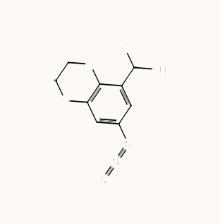 CC(C)c1cc(N=[N+]=[N-])cc2c1OCCO2